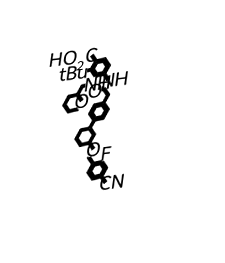 CC(C)(C)c1c(C(=O)O)ccc(NC(=O)Cc2ccc(C3CCCC(OCc4ccc(C#N)cc4F)C3)cc2)c1NCC1CCCCO1